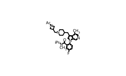 CC(=O)N1CC(CN2CCC(Cc3cn(-c4ccc(F)cc4C(=O)N(C)C(C)C)c4cncc(C)c34)CC2)C1